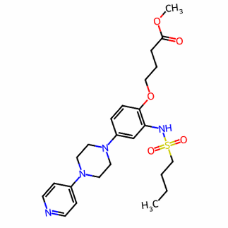 CCCCS(=O)(=O)Nc1cc(N2CCN(c3ccncc3)CC2)ccc1OCCCC(=O)OC